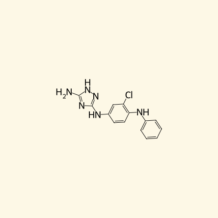 Nc1nc(Nc2ccc(Nc3ccccc3)c(Cl)c2)n[nH]1